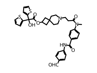 CN(C(=O)CCN1CCC2(CC1)CC(OC(=O)C(O)(c1cccs1)c1cccs1)C2)c1ccc(C(=O)Nc2ccc(C=O)cc2)cc1